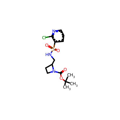 CC(C)(C)OC(=O)N1CCC1CNS(=O)(=O)c1cccnc1Cl